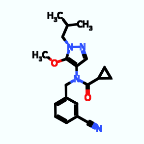 COc1c(N(Cc2cccc(C#N)c2)C(=O)C2CC2)cnn1CC(C)C